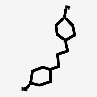 CC(C)N1CCN(CCCC2CCN(S)CC2)CC1